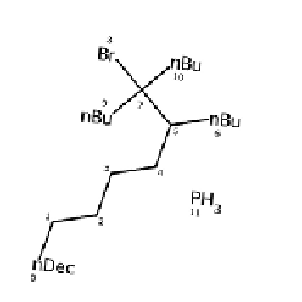 CCCCCCCCCCCCCCC(CCCC)C(Br)(CCCC)CCCC.P